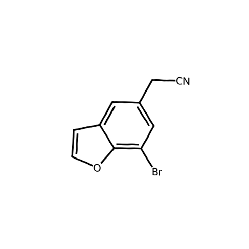 N#CCc1cc(Br)c2occc2c1